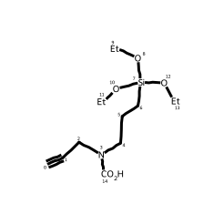 C#CCN(CCC[Si](OCC)(OCC)OCC)C(=O)O